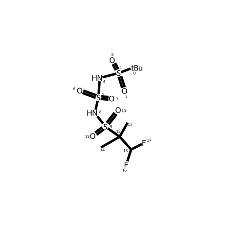 CC(C)(C)S(=O)(=O)NS(=O)(=O)NS(=O)(=O)C(C)(C)C(F)F